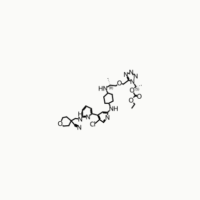 CCOC(=O)O[C@@H](C)n1nnnc1COC[C@@H](C)NC1CCC(Nc2cc(-c3cccc(NCC4(C#N)CCOCC4)n3)c(Cl)cn2)CC1